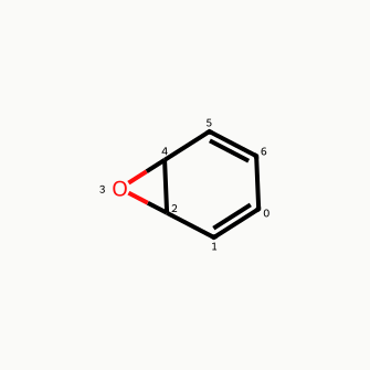 C1=CC2OC2C=C1